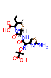 CCC1=C(C(=O)O)N2C(=O)[C@@H](NC(=O)/C(=N\OC(C)(C)C(=O)O)c3csc(N)n3)[C@H]2S[C@H]1C